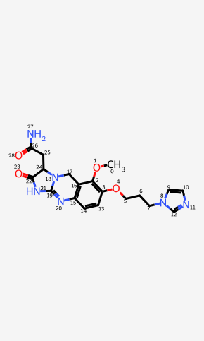 COc1c(OCCCn2ccnc2)ccc2c1CN1C(=N2)NC(=O)C1CC(N)=O